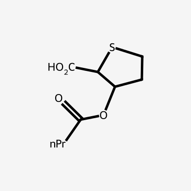 CCCC(=O)OC1CCSC1C(=O)O